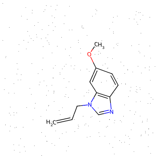 C=CCn1cnc2ccc(OC)cc21